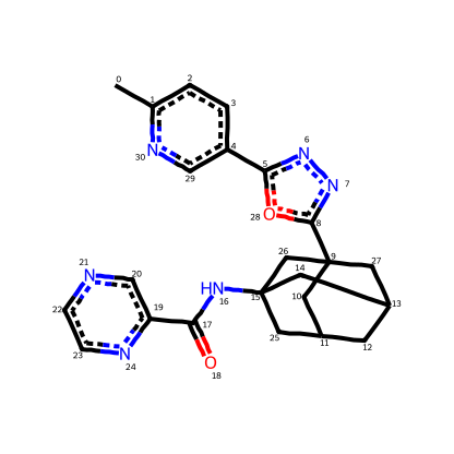 Cc1ccc(-c2nnc(C34CC5CC(CC(NC(=O)c6cnccn6)(C5)C3)C4)o2)cn1